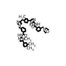 Cc1ccc(-c2cnc(NC(=O)c3cccc(Cn4cnc(Cc5ccc(-c6cnc(NC(=O)c7cccc(CN8CCOCC8)c7)n6C)cc5C)c4)c3)n2C)cc1C